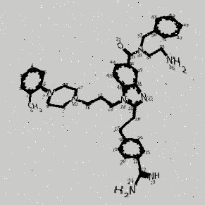 Cc1ccccc1N1CCN(CCCn2c(CCc3ccc(C(=N)N)cc3)nc3cc(C(=O)N(CCN)Cc4ccccc4)ccc32)CC1